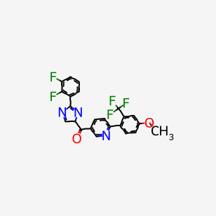 COc1ccc(-c2ccc(C(=O)C3C=NC(c4cccc(F)c4F)=N3)cn2)c(C(F)(F)F)c1